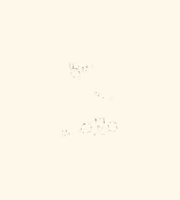 COc1cc(C)c(S(=O)(=O)N2c3ccccc3CC2COCC(=O)N2CCC3(CC2)CCC(c2ccccc2)(N(C)C)CC3)c(C)c1